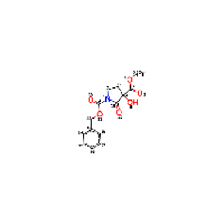 CC(C)OC(=O)C1(O)CCN(C(=O)OCc2ccccc2)C1=O